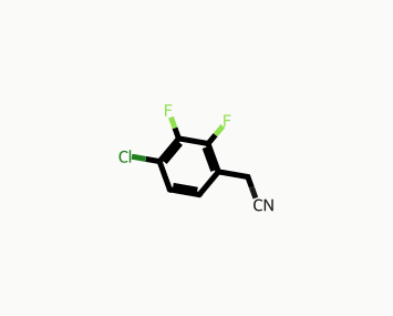 N#CCc1ccc(Cl)c(F)c1F